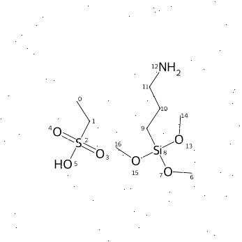 CCS(=O)(=O)O.CO[Si](CCCN)(OC)OC